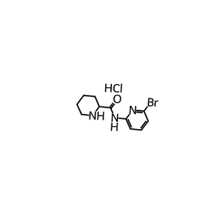 Cl.O=C(Nc1cccc(Br)n1)C1CCCCN1